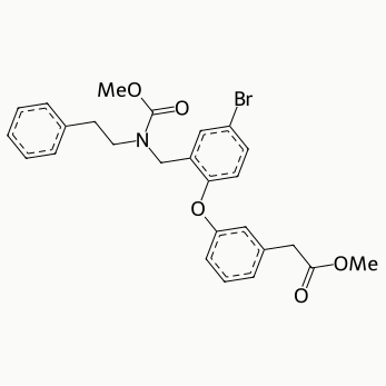 COC(=O)Cc1cccc(Oc2ccc(Br)cc2CN(CCc2ccccc2)C(=O)OC)c1